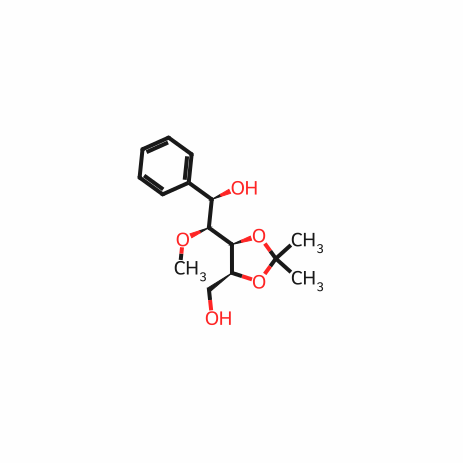 CO[C@H]([C@H]1OC(C)(C)O[C@H]1CO)[C@H](O)c1ccccc1